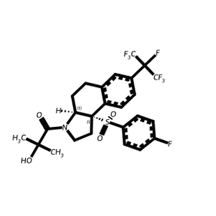 CC(C)(O)C(=O)N1CC[C@]2(S(=O)(=O)c3ccc(F)cc3)c3ccc(C(F)(C(F)(F)F)C(F)(F)F)cc3CC[C@H]12